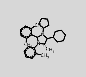 Cc1ccccc1N1C(c2c(C)cccc2C)N(C2CCCC2)C(C2CCCCC2)[C@@H]1C